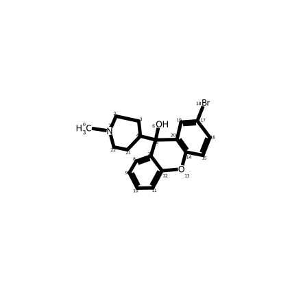 CN1CCC(C2(O)c3ccccc3Oc3ccc(Br)cc32)CC1